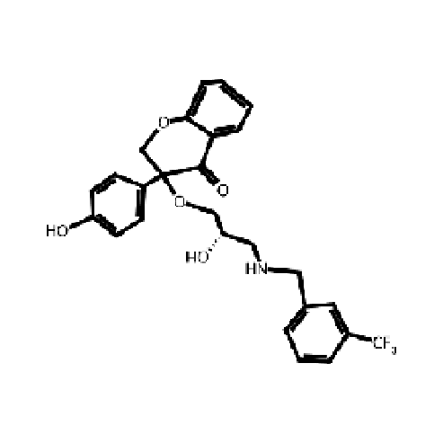 O=C1c2ccccc2OCC1(OC[C@@H](O)CNCc1cccc(C(F)(F)F)c1)c1ccc(O)cc1